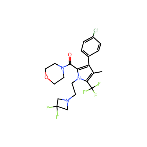 Cc1c(-c2ccc(Cl)cc2)c(C(=O)N2CCOCC2)n(CCN2CC(F)(F)C2)c1C(F)(F)F